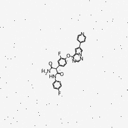 NC(=O)C(C(=O)Nc1ccc(F)cc1)c1ccc(Oc2ncnn3cc(-c4ccncc4)cc23)c(F)c1